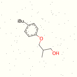 CCC(C)c1ccc(OCC(C)CO)cc1